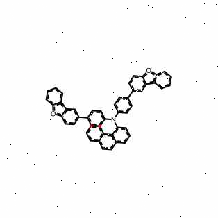 c1ccc2c(c1)ccc1cccc(N(c3ccc(-c4ccc5oc6ccccc6c5c4)cc3)c3ccc(-c4ccc5oc6ccccc6c5c4)cc3)c12